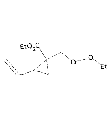 C=CC1CC1(COOCC)C(=O)OCC